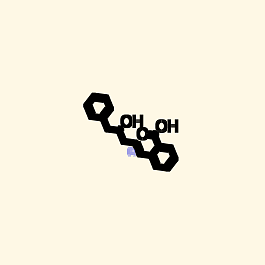 O=C(O)c1ccccc1/C=C/CC(O)Cc1ccccc1